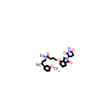 CCN(CC[C@@H](C#N)c1cccc(OC(F)(F)F)c1)C(=O)CCCOc1cccc2c1CN(C1CCC(=O)NC1=O)C2=O